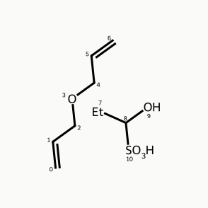 C=CCOCC=C.CCC(O)S(=O)(=O)O